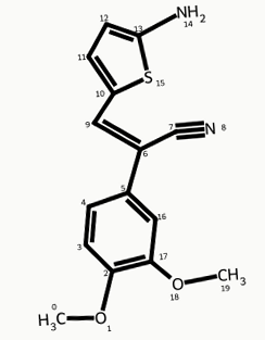 COc1ccc(/C(C#N)=C/c2ccc(N)s2)cc1OC